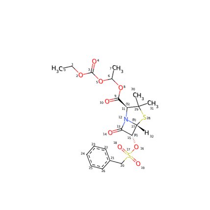 CCOC(=O)OC(C)OC(=O)[C@@H]1N2C(=O)[C@@H](OS(=O)(=O)Cc3ccccc3)[C@H]2SC1(C)C